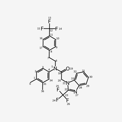 Cc1ccc(N(CCc2ccc(C(F)(F)F)cc2)C(=O)Cn2c(C(F)(F)F)nc3ccccc32)cc1C